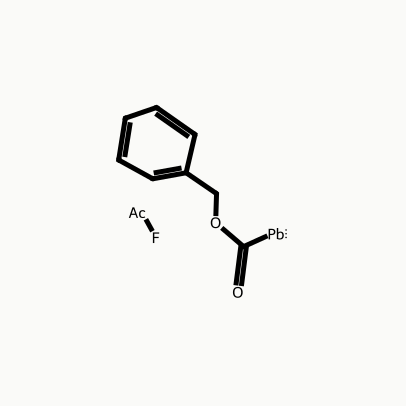 CC(=O)F.O=[C]([Pb])OCc1ccccc1